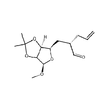 C=CC[C@H](C=O)C[C@H]1O[C@@H](OC)C2OC(C)(C)O[C@H]21